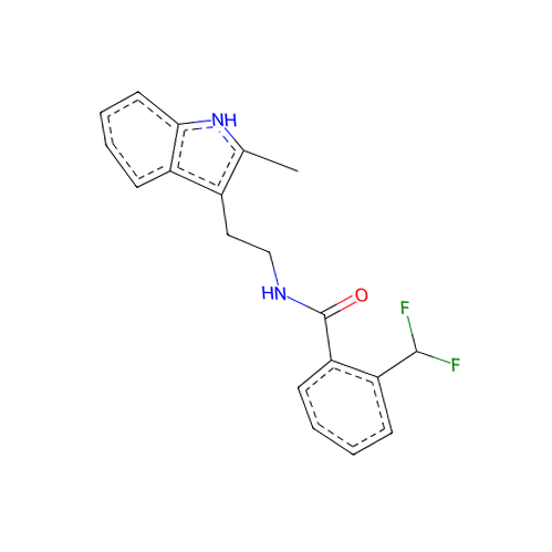 Cc1[nH]c2ccccc2c1CCNC(=O)c1ccccc1C(F)F